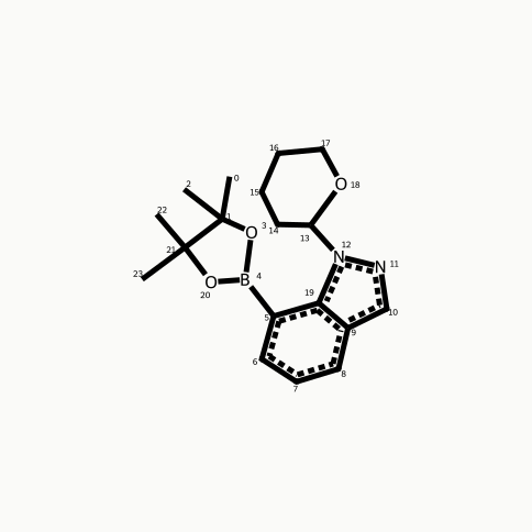 CC1(C)OB(c2cccc3cnn(C4CCCCO4)c23)OC1(C)C